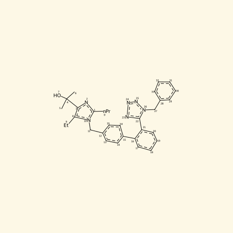 CCCc1nc(C(C)(C)O)c(CC)n1Cc1ccc(-c2ccccc2-c2nnnn2Cc2ccccc2)cc1